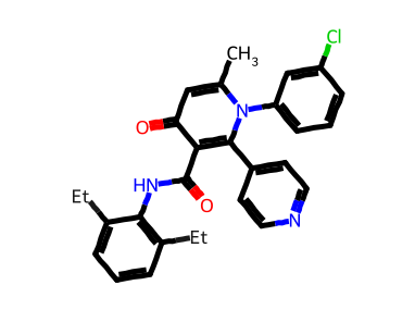 CCc1cccc(CC)c1NC(=O)c1c(-c2ccncc2)n(-c2cccc(Cl)c2)c(C)cc1=O